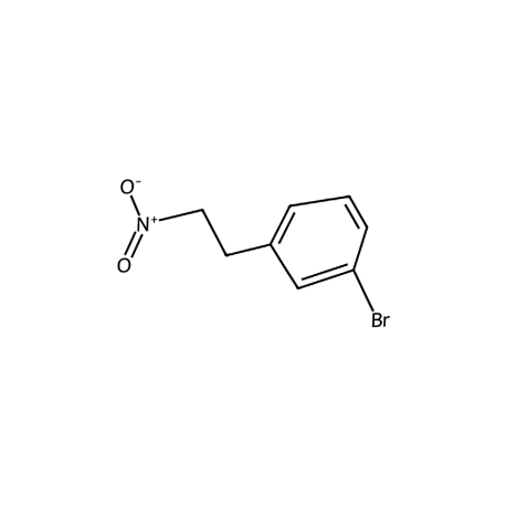 O=[N+]([O-])CCc1cccc(Br)c1